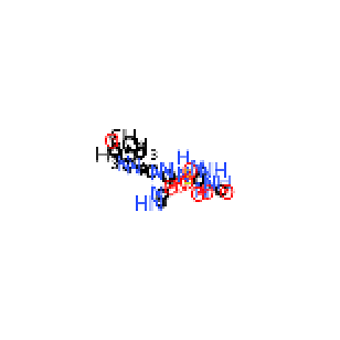 COc1ccc(CN2CCN(C3CC4(CCN(c5cc(Oc6cnc7[nH]ccc7c6)c(C(=O)NS(=O)(=O)c6cc([N+](=O)[O-])c(NCC7CCOCC7)c7[nH]cnc67)cn5)CC4)C3)[C@H](c3ccccc3C(C)C)C2)cc1